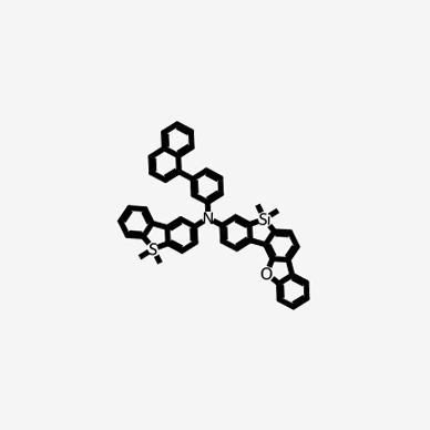 C[Si]1(C)c2cc(N(c3cccc(-c4cccc5ccccc45)c3)c3ccc4c(c3)-c3ccccc3S4(C)C)ccc2-c2c1ccc1c2oc2ccccc21